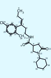 CC/C=C(/CCNC(=O)C1CC(=O)N(C2CCCCC2)C1)c1cc(Cl)ccc1C